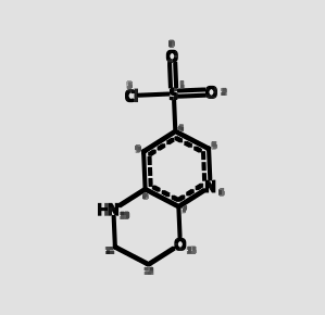 O=S(=O)(Cl)c1cnc2c(c1)NCCO2